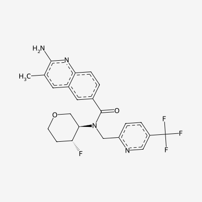 Cc1cc2cc(C(=O)N(Cc3ccc(C(F)(F)F)cn3)[C@@H]3COCC[C@H]3F)ccc2nc1N